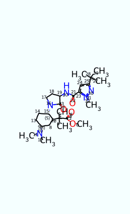 COC(=O)C(C)(C)[C@H]1C[C@H](N(C)C)CC[C@@H]1N1CCC(NC(=O)c2cc(C(C)(C)C)nn2C)C1=O